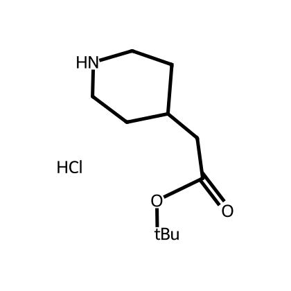 CC(C)(C)OC(=O)CC1CCNCC1.Cl